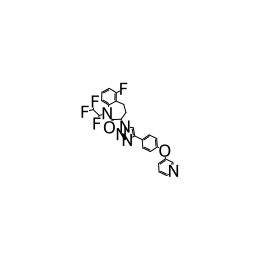 O=C1C(n2cc(-c3ccc(Oc4cccnc4)cc3)nn2)CCc2c(F)cccc2N1C(F)C(F)F